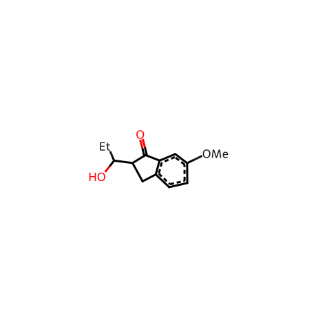 CCC(O)C1Cc2ccc(OC)cc2C1=O